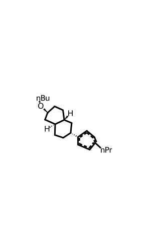 CCCCO[C@H]1CC[C@@H]2C[C@H](c3ccc(CCC)cc3)CC[C@H]2C1